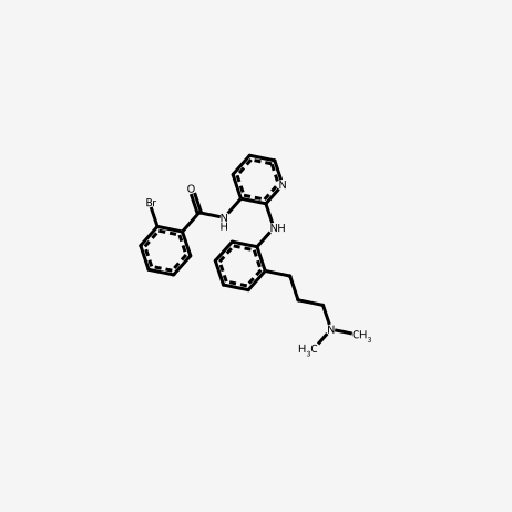 CN(C)CCCc1ccccc1Nc1ncccc1NC(=O)c1ccccc1Br